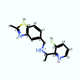 Cc1nc2cc(CNC(C)c3ncccc3F)ccc2s1